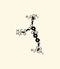 C=C(C)C(=O)OCCCOc1ccc(OC(=O)c2ccc(-c3ccc(OCCOC(=O)C(=C)C)cc3)cc2F)cc1OCCCOC(=O)C(=C)C